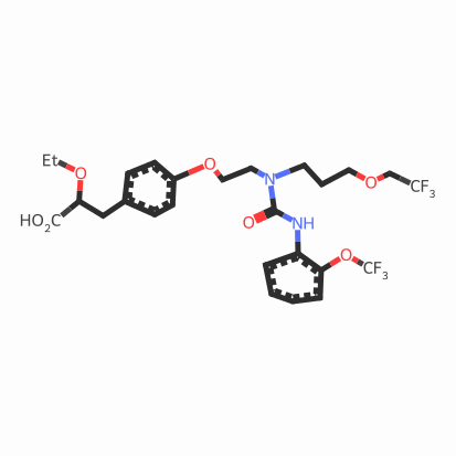 CCOC(Cc1ccc(OCCN(CCCOCC(F)(F)F)C(=O)Nc2ccccc2OC(F)(F)F)cc1)C(=O)O